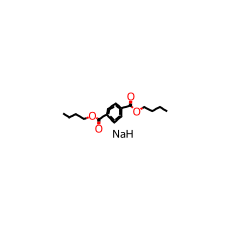 CCCCOC(=O)c1ccc(C(=O)OCCCC)cc1.[NaH]